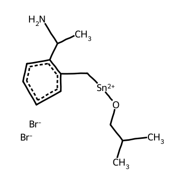 CC(C)C[O][Sn+2][CH2]c1ccccc1C(C)N.[Br-].[Br-]